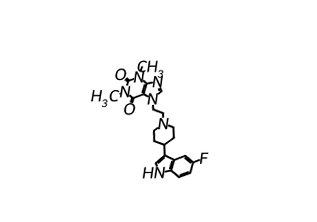 Cn1c(=O)c2c(ncn2CCN2CCC(c3c[nH]c4ccc(F)cc34)CC2)n(C)c1=O